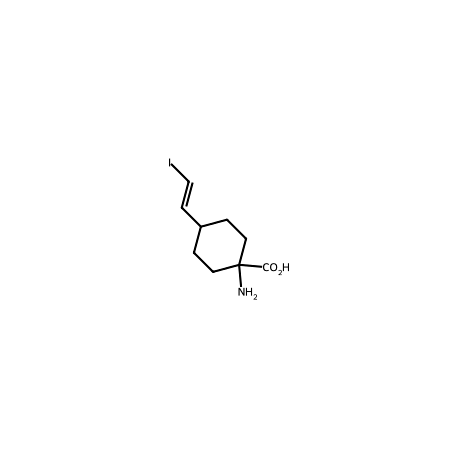 NC1(C(=O)O)CCC(/C=C/I)CC1